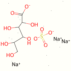 O=C([O-])C(O)C(O)C(O)C(O)CO.O=S(=O)([O-])[O-].[Na+].[Na+].[Na+]